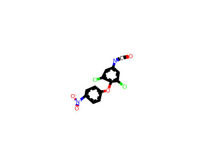 O=C=Nc1cc(Cl)c(Oc2ccc([N+](=O)[O-])cc2)c(Cl)c1